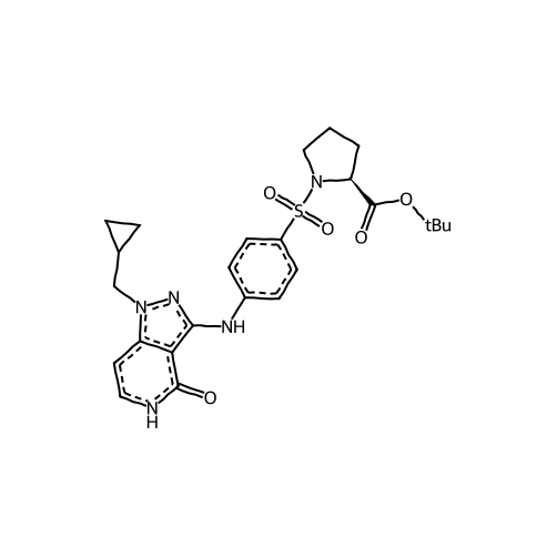 CC(C)(C)OC(=O)[C@@H]1CCCN1S(=O)(=O)c1ccc(Nc2nn(CC3CC3)c3cc[nH]c(=O)c23)cc1